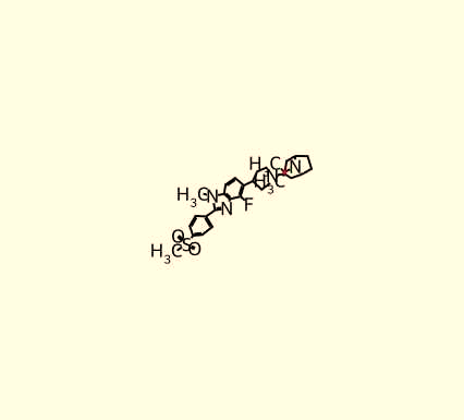 CC(C)N1C2CCC1CC(N1CCC(c3ccc4c(nc(-c5ccc(S(C)(=O)=O)cc5)n4C)c3F)CC1)C2